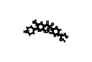 Cc1nc(N2CCNCC2)c(Br)cc1NS(=O)(=O)c1ccc(C(C)CF)cc1